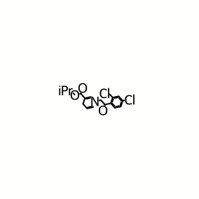 CC(C)OC(=O)C1=CN(CC(=O)c2ccc(Cl)cc2Cl)C=CC1